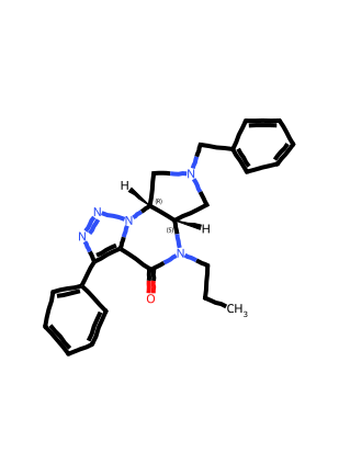 CCCN1C(=O)c2c(-c3ccccc3)nnn2[C@@H]2CN(Cc3ccccc3)C[C@@H]21